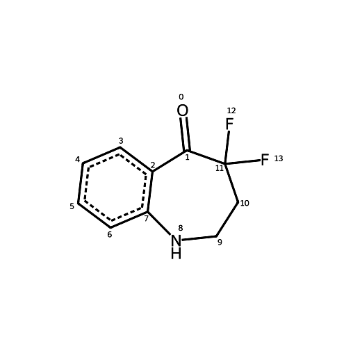 O=C1c2ccccc2NCCC1(F)F